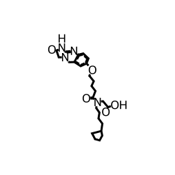 O=C(O)CN(CCCCC1CCCC1)C(=O)CCCCOc1ccc2c(c1)CN1CC(=O)NC1=N2